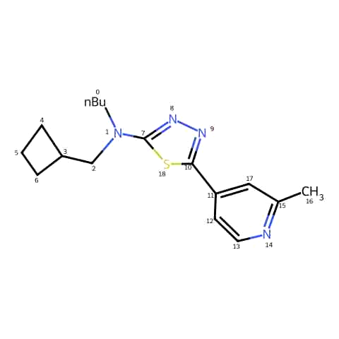 CCCCN(CC1CCC1)c1nnc(-c2ccnc(C)c2)s1